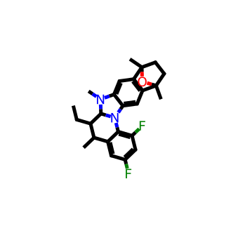 CCC1C(C)c2cc(F)cc(F)c2N2c3cc4c(cc3N(C)C12)C1(C)CCC4(C)O1